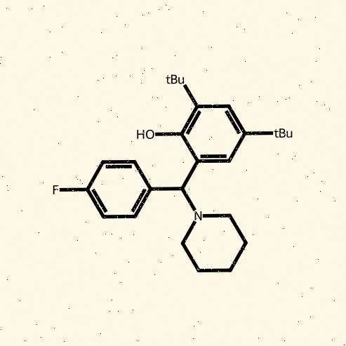 CC(C)(C)c1cc(C(c2ccc(F)cc2)N2CCCCC2)c(O)c(C(C)(C)C)c1